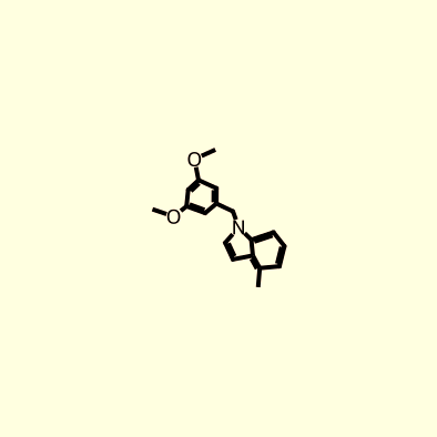 COc1cc(Cn2ccc3c(C)cccc32)cc(OC)c1